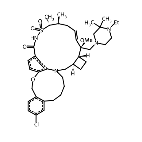 CCN1CCN(C[C@@]2(OC)/C=C/C[C@H](C)[C@@H](C)S(=O)(=O)NC(=O)c3ccc4c(c3)N(CCCCc3cc(Cl)ccc3CO4)C[C@@H]3CC[C@H]32)CC1(C)C